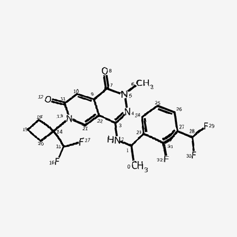 CC(Nc1nn(C)c(=O)c2cc(=O)n(C3(C(F)F)CCC3)cc12)c1cccc(C(F)F)c1F